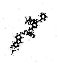 CC[Si](CC)(CC)OC(CNCCOc1ccc2c(c1)Cc1cc(NC(C)=O)ccc1-2)c1ccc(OCc2ccccc2)c(NS(=O)(=O)N(C)C)c1